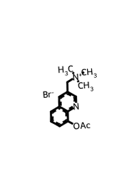 CC(=O)Oc1cccc2cc(C[N+](C)(C)C)cnc12.[Br-]